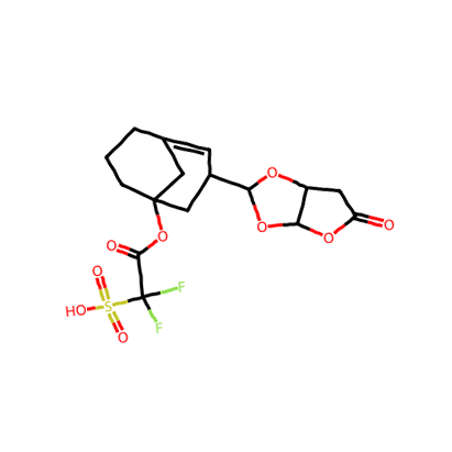 O=C1CC2OC(C3C=C4CCCC(OC(=O)C(F)(F)S(=O)(=O)O)(C4)C3)OC2O1